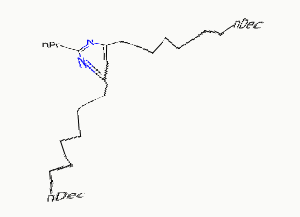 [CH2]CCc1nc(CCCCCCCCCCCCCCCC)cc(CCCCCCCCCCCCCCCC)n1